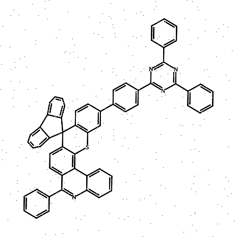 c1ccc(-c2nc(-c3ccccc3)nc(-c3ccc(-c4ccc5c(c4)Sc4c(ccc6c(-c7ccccc7)nc7ccccc7c46)C54c5ccccc5-c5ccccc54)cc3)n2)cc1